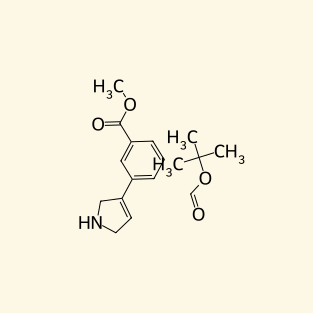 CC(C)(C)OC=O.COC(=O)c1cccc(C2=CCNC2)c1